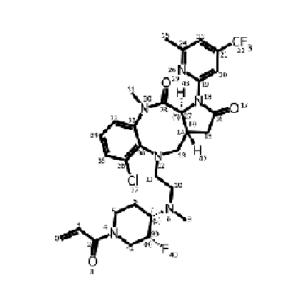 C=CC(=O)N1CC[C@H](N(C)CCN2C[C@H]3CC(=O)N(c4cc(C(F)(F)F)cc(C)n4)[C@@H]3C(=O)N(C)c3cccc(Cl)c32)[C@H](F)C1